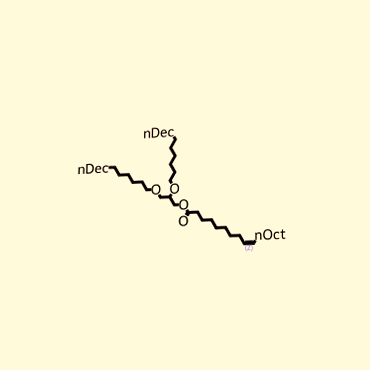 CCCCCCCC/C=C\CCCCCCCC(=O)OCC(COCCCCCCCCCCCCCCCC)OCCCCCCCCCCCCCCCC